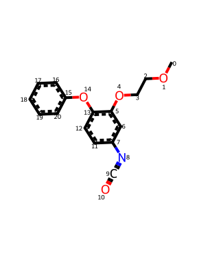 COCCOc1cc(N=C=O)ccc1Oc1ccccc1